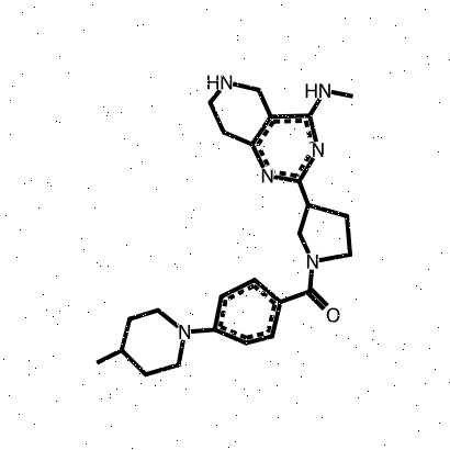 CNc1nc(C2CCN(C(=O)c3ccc(N4CCC(C)CC4)cc3)C2)nc2c1CNCC2